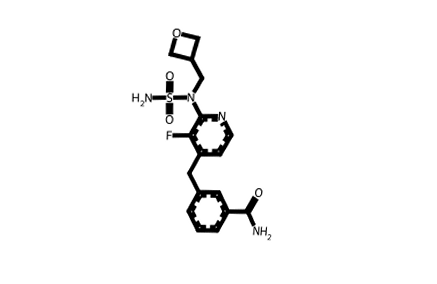 NC(=O)c1cccc(Cc2ccnc(N(CC3COC3)S(N)(=O)=O)c2F)c1